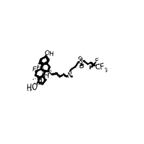 CN(CCCCC[C@@H]1Cc2cc(O)ccc2[C@@H]2[C@@H]1[C@@H]1CC[C@H](O)[C@@]1(C)C[C@@H]2F)CCCS(=O)(=O)CCCC(F)(F)C(F)(F)F